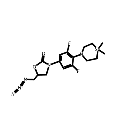 C[Si]1(C)CCN(c2c(F)cc(N3CC(CN=[N+]=[N-])OC3=O)cc2F)CC1